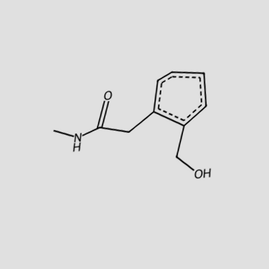 CNC(=O)Cc1ccccc1CO